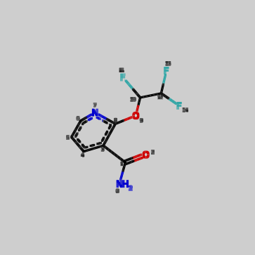 NC(=O)c1cccnc1OC(F)C(F)F